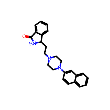 O=C1NC(CCN2CCN(c3ccc4ccccc4c3)CC2)c2ccccc21